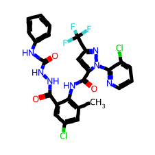 Cc1cc(Cl)cc(C(=O)NNC(=O)Nc2ccccc2)c1NC(=O)c1cc(C(F)(F)F)nn1-c1ncccc1Cl